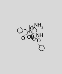 NC(=O)C[C@@H](NC(=O)OCc1ccccc1)C(=O)NC(Cc1ccccc1)C(O)C=O